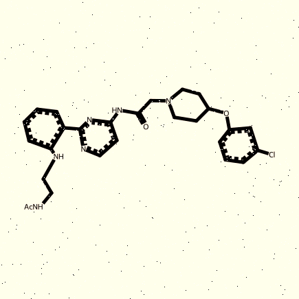 CC(=O)NCCNc1ccccc1-c1nccc(NC(=O)CN2CCC(Oc3cccc(Cl)c3)CC2)n1